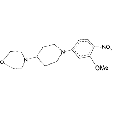 COc1cc(N2CCC(N3CCOCC3)CC2)ccc1[N+](=O)[O-]